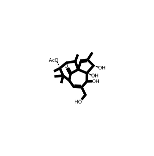 CC(=O)O[C@]1(C)CC(C)C23C=C(C)[C@H](O)[C@@]2(O)C(O)C(CO)=CC(C3=O)C1(C)C